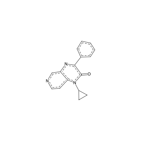 O=c1c(-c2ccccc2)nc2cnccc2n1C1CC1